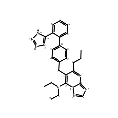 CCCc1nc2ncnn2c(N(CC)CC)c1Cc1ccc(-c2ccccc2-c2nnn[nH]2)cc1